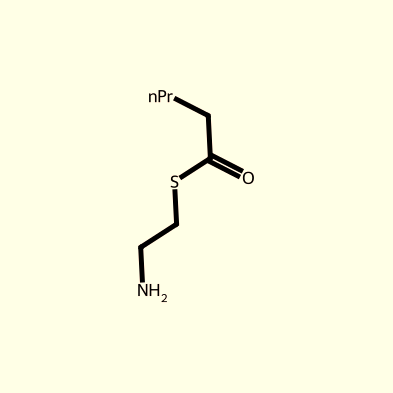 CCCCC(=O)SCCN